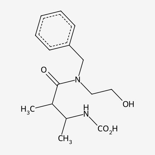 CC(NC(=O)O)C(C)C(=O)N(CCO)Cc1ccccc1